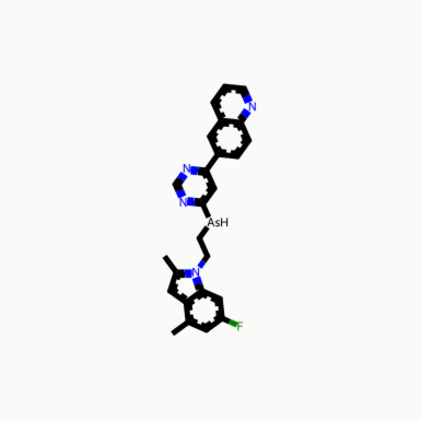 Cc1cc(F)cc2c1cc(C)n2CC[AsH]c1cc(-c2ccc3ncccc3c2)ncn1